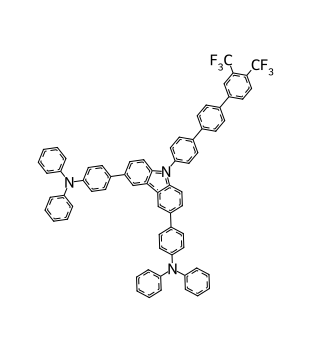 FC(F)(F)c1ccc(-c2ccc(-c3ccc(-n4c5ccc(-c6ccc(N(c7ccccc7)c7ccccc7)cc6)cc5c5cc(-c6ccc(N(c7ccccc7)c7ccccc7)cc6)ccc54)cc3)cc2)cc1C(F)(F)F